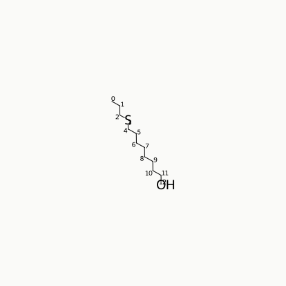 CCCSCCCCCCCCO